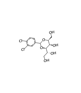 OC[C@@H](O)[C@H]1OC(c2ccc(Cl)c(Cl)c2)O[C@@H](CO)[C@H]1O